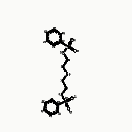 O=S(=O)(SCCSCCSS(=O)(=O)c1ccccc1)c1ccccc1